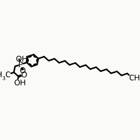 CCCCCCCCCCCCCCCCCCc1ccc(P(=O)(O)CC(C)C(=O)O)cc1